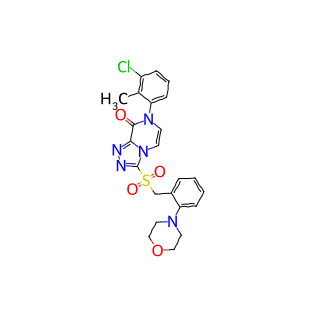 Cc1c(Cl)cccc1-n1ccn2c(S(=O)(=O)Cc3ccccc3N3CCOCC3)nnc2c1=O